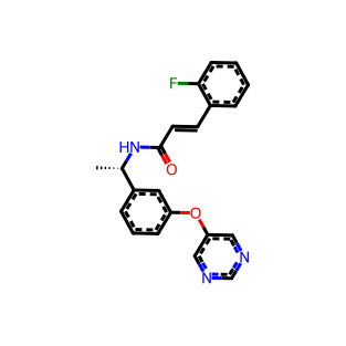 C[C@H](NC(=O)C=Cc1ccccc1F)c1cccc(Oc2cncnc2)c1